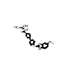 CCC(C)[C@H](NC(=O)c1ccc(-c2ccc(Nc3nc4ccc(C(F)(F)F)cc4s3)cc2)cc1)C(=O)O